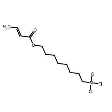 CC=CC(=O)OCCCCCCCC[Si](Cl)(Cl)Cl